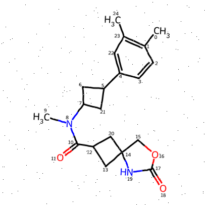 Cc1ccc(C2CC(N(C)C(=O)C3CC4(COC(=O)N4)C3)C2)cc1C